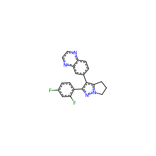 Fc1ccc(-c2nn3c(c2-c2ccc4nccnc4c2)CCC3)c(F)c1